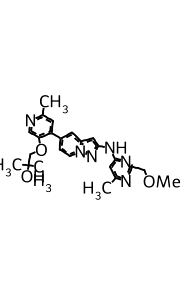 COCc1nc(C)cc(Nc2cc3cc(-c4cc(C)ncc4OCC(C)(C)O)ccn3n2)n1